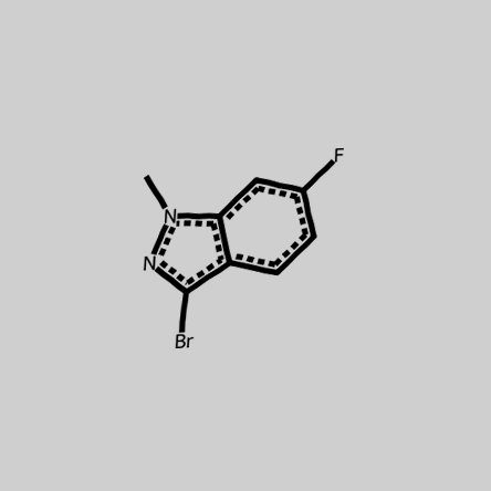 Cn1nc(Br)c2ccc(F)cc21